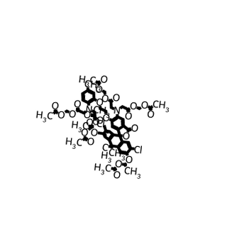 CC(=O)OCOC(=O)CN(CC(=O)OCOC(C)=O)c1ccc(C)cc1OCCOc1cc2c(cc1N(CC(=O)OCOC(C)=O)CC(=O)OCOC(C)=O)C(=O)OC21c2cc(Cl)c(OC(C)OC(C)=O)cc2C(C)(C)c2cc(OC(C)OC(C)=O)c(Cl)cc21